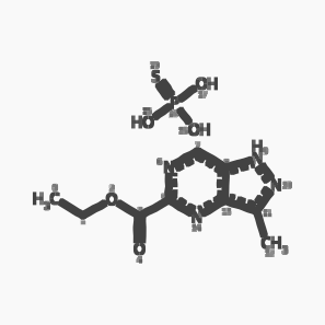 CCOC(=O)c1ncc2[nH]nc(C)c2n1.OP(O)(O)=S